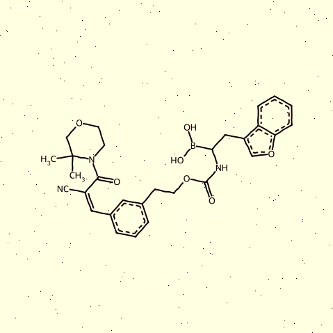 CC1(C)COCCN1C(=O)C(C#N)=Cc1cccc(CCOC(=O)NC(Cc2coc3ccccc23)B(O)O)c1